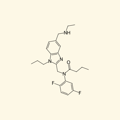 CCCC(=O)N(Cc1nc2cc(CNCC)ccc2n1CCC)c1cc(F)ccc1F